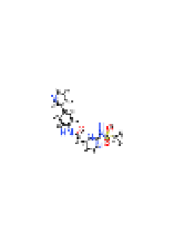 O=C(Cc1ccnc(NS(=O)(=O)C2CC2)n1)Nc1ccc(-c2cccnc2)cc1